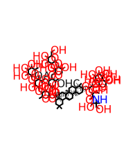 CC(=O)OC1C(C)OC(OC2C(C)OC(OC(=O)[C@]34CCC(C)(C)CC3C3=CCC5[C@@]6(C)CC[C@H](OC(OC(C(=O)NC(C)(CO)CO)C(C)O)C(OC7OCC(O)C(O)C7O)OC7OC(CO)C(O)C(O)C7O)[C@@](C)(C=O)C6CC[C@@]5(C)[C@]3(C)C[C@H]4O)C(OC3OC(C)C(OC4OCC(O)C(OC5OC(CO)C(O)C(O)C5O)C4O)C(O)C3O)C2O)C(O)C1OC1OC(C)C(O)C(O)C1O